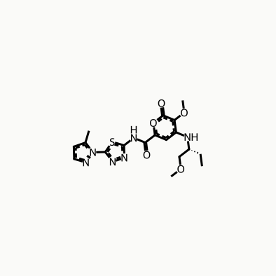 CC[C@H](COC)Nc1cc(C(=O)Nc2nnc(-n3nccc3C)s2)oc(=O)c1OC